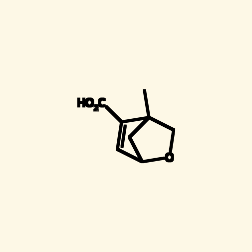 CC12COC(C=C1C(=O)O)C2